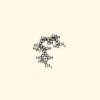 Cc1cc(O)c2c(c1)C[C@@H](O)C1=C2C(=O)c2c(O)ccc(O[C@H]3C[C@@H](O)[C@H](O[C@H]4C[C@@H](O[C@H]5CC[C@H](O[C@H]6C[C@@H](O)[C@H](O[C@H]7C[C@@H](O[C@H]8CC[C@H](O)[C@H](C)O8)[C@H](O)[C@@H](C)O7)[C@@H](C)O6)[C@H](C)O5)[C@H](O)[C@@H](C)O4)[C@@H](C)O3)c2C1=O